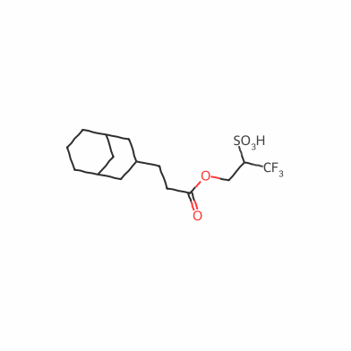 O=C(CCC1CC2CCCC(C2)C1)OCC(C(F)(F)F)S(=O)(=O)O